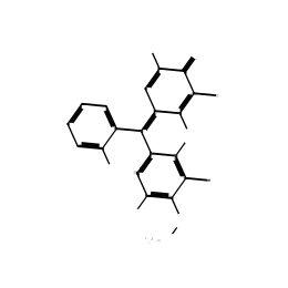 COOc1c(C)cc2c(-c3ccccc3C(=O)O)c3cc(C)c(=O)c(I)c-3oc2c1I